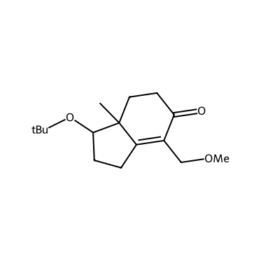 COCC1=C2CCC(OC(C)(C)C)C2(C)CCC1=O